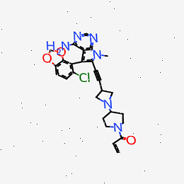 C=CC(=O)N1CCC(N2CC(C#Cc3c(-c4c(Cl)ccc5c4OCO5)c4c(N)ncnc4n3C)C2)CC1